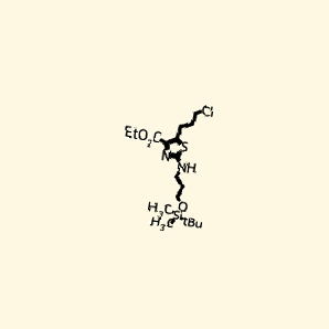 CCOC(=O)c1nc(NCCCO[Si](C)(C)C(C)(C)C)sc1CCCCl